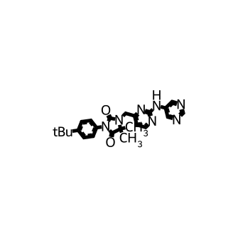 CC(C)(C)c1ccc(N2C(=O)N(Cc3ccnc(Nc4cncnc4)n3)C(C)(C)C2=O)cc1